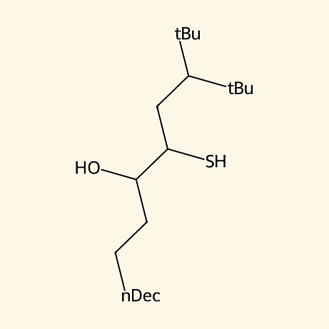 CCCCCCCCCCCCC(O)C(S)CC(C(C)(C)C)C(C)(C)C